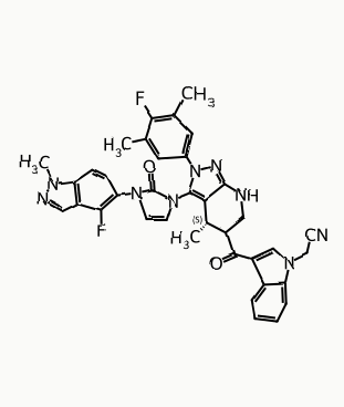 Cc1cc(-n2nc3c(c2-n2ccn(-c4ccc5c(cnn5C)c4F)c2=O)[C@@H](C)C(C(=O)c2cn(CC#N)c4ccccc24)CN3)cc(C)c1F